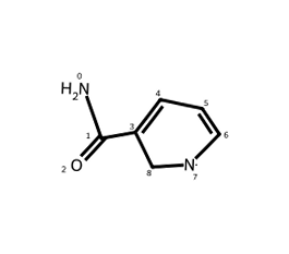 NC(=O)C1=CC=C[N]C1